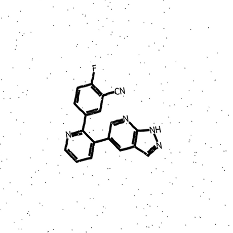 N#Cc1cc(-c2ncccc2-c2cnc3[nH]ncc3c2)ccc1F